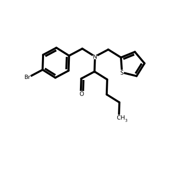 CCCC[C](C=O)N(Cc1ccc(Br)cc1)Cc1cccs1